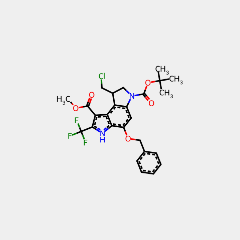 COC(=O)c1c(C(F)(F)F)[nH]c2c(OCc3ccccc3)cc3c(c12)C(CCl)CN3C(=O)OC(C)(C)C